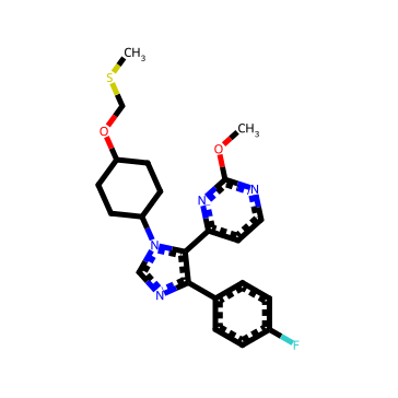 COc1nccc(-c2c(-c3ccc(F)cc3)ncn2C2CCC(OCSC)CC2)n1